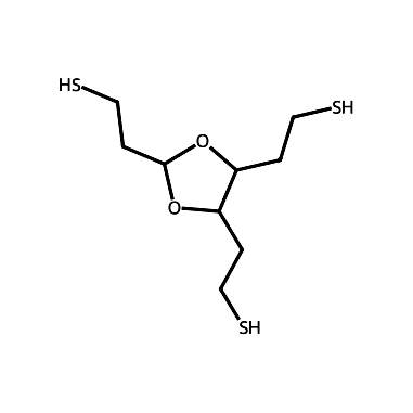 SCCC1OC(CCS)C(CCS)O1